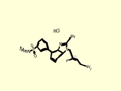 CNS(=O)(=O)c1cccc(-c2cccc3c2nc(C(C)C)n3C/C(F)=C/CN)c1.Cl